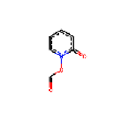 O=COn1ccccc1=O